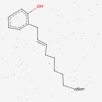 CCCCCCCCCCCCCCC=CCc1[c]cccc1O